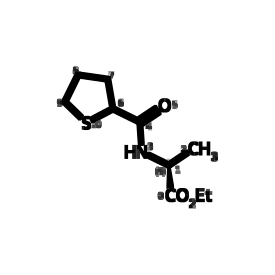 CCOC(=O)[C@H](C)NC(=O)C1CCCS1